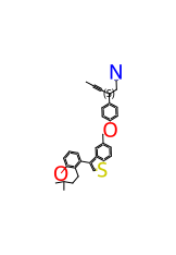 CC#C[C@@H](CC#N)c1ccc(OCc2ccc3scc(-c4cccc5c4CCC(C)(C)O5)c3c2)cc1